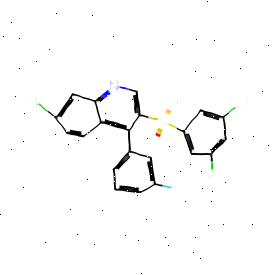 O=S(=O)(c1cc(Cl)cc(Cl)c1)c1cnc2cc(Cl)ccc2c1-c1cccc(F)c1